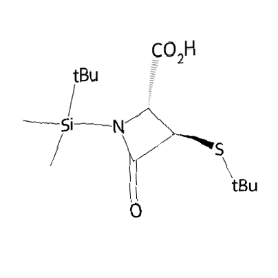 CC(C)(C)S[C@H]1C(=O)N([Si](C)(C)C(C)(C)C)[C@@H]1C(=O)O